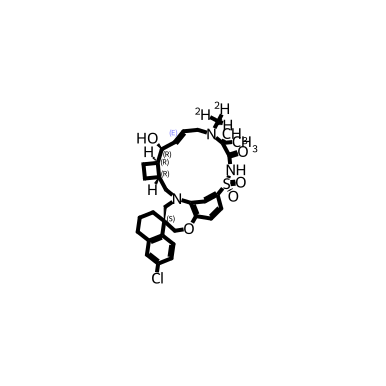 [2H]C([2H])([2H])N1C/C=C/[C@H](O)[C@@H]2CC[C@H]2CN2C[C@@]3(CCCc4cc(Cl)ccc43)COc3ccc(cc32)S(=O)(=O)NC(=O)C1(C)C